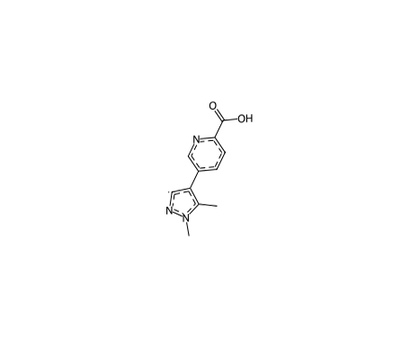 Cc1c(-c2ccc(C(=O)O)nc2)[c]nn1C